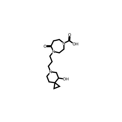 O=C(O)N1CCC(=O)N(CCCN2CCC3(CC3)C(O)C2)CC1